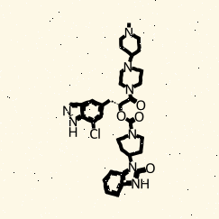 CN1CCC(N2CCN(C(=O)[C@@H](Cc3cc(Cl)c4[nH]ncc4c3)OC(=O)N3CCC(n4c(=O)[nH]c5ccccc54)CC3)CC2)CC1